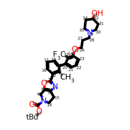 Cc1c(-c2nc3c(o2)CN(C(=O)OC(C)(C)C)CC3)cccc1-c1cccc(OCCCN2CCC(O)CC2)c1C(F)(F)F